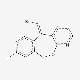 Fc1ccc2c(c1)COc1ncccc1/C2=C/Br